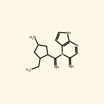 CCC1CC(N)CC1C(=N)n1c(=N)cnc2[nH]ccc21